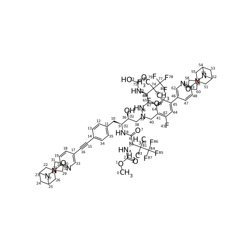 COC(=O)N[C@H](C(=O)N[C@@H](Cc1ccc(C#Cc2ccc(N3CC4CC(C3)N4C3COC3)nc2)cc1)[C@@H](O)CN(Cc1c(F)cc(-c2ccc(N3CC4CC(C3)N4C3COC3)nc2)cc1F)NC(=O)[C@@H](NC(=O)O)C(C)(C)C(F)(F)F)C(C)(C)C(F)(F)F